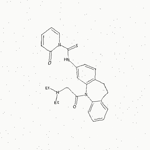 CCN(CC)CC(=O)N1c2ccccc2CCc2ccc(NC(=S)n3ccccc3=O)cc21